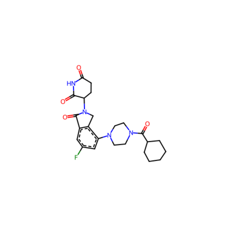 O=C1CCC(N2Cc3c(cc(F)cc3N3CCN(C(=O)C4CCCCC4)CC3)C2=O)C(=O)N1